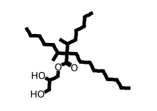 CCCCCCCCCC(C(=O)OCC(O)CO)(C(C)CCCCC)C(C)CCCCC